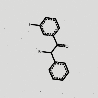 O=C(c1cccc(F)c1)C(Br)c1ccccc1